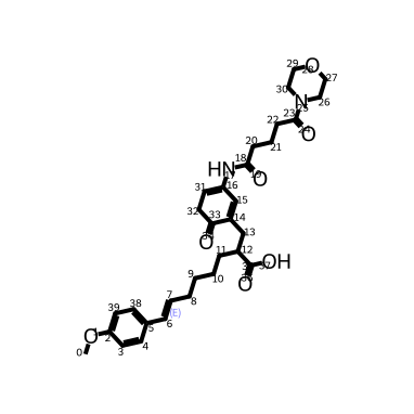 COc1ccc(/C=C/CCCCC(CC2=CC(NC(=O)CCCC(=O)N3CCOCC3)=CCC2=O)C(=O)O)cc1